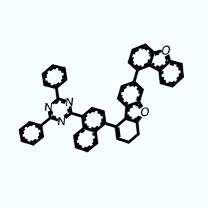 C1=C(c2ccc(-c3nc(-c4ccccc4)nc(-c4ccccc4)n3)c3ccccc23)c2c(oc3cc(-c4cccc5oc6ccccc6c45)ccc23)CC1